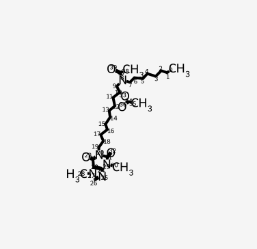 CCCCCCCCN(CC(CCCCCCCCCn1c(=O)c2c(ncn2C)n(C)c1=O)OC(C)=O)C(C)=O